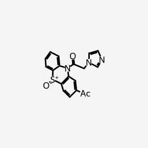 CC(=O)c1ccc2c(c1)N(C(=O)Cn1ccnc1)c1ccccc1[S+]2[O-]